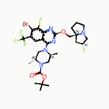 C[C@@H]1CN(c2nc(OC[C@@]34CCCN3C[C@H](F)C4)nc3c(F)c(Br)c(C(F)(F)F)cc23)[C@@H](C)CN1C(=O)OC(C)(C)C